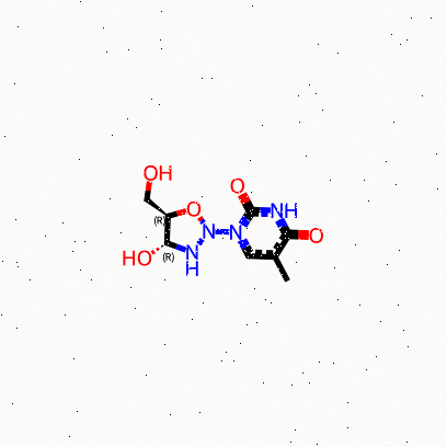 Cc1cn(N2N[C@H](O)[C@@H](CO)O2)c(=O)[nH]c1=O